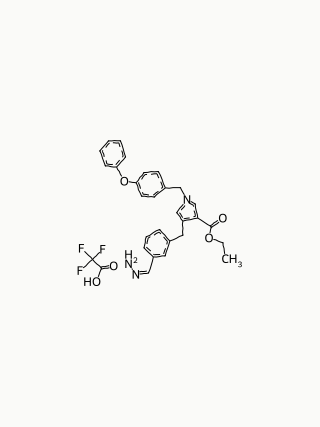 CCOC(=O)c1cn(Cc2ccc(Oc3ccccc3)cc2)cc1Cc1cccc(/C=N\N)c1.O=C(O)C(F)(F)F